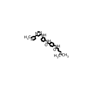 Cc1cc(-c2cc(Nc3cccc(NC(=O)c4ccc(NC(=O)/C=C/CN(C)C)cc4)c3)ncn2)ccn1